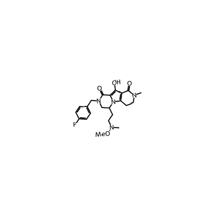 CON(C)CCC1CN(Cc2ccc(F)cc2)C(=O)c2c(O)c3c(n21)CCN(C)C3=O